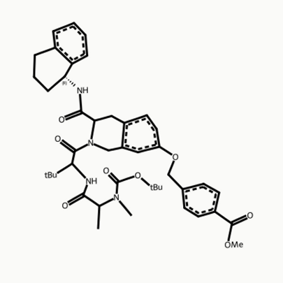 COC(=O)c1ccc(COc2ccc3c(c2)CN(C(=O)C(NC(=O)C(C)N(C)C(=O)OC(C)(C)C)C(C)(C)C)C(C(=O)N[C@@H]2CCCc4ccccc42)C3)cc1